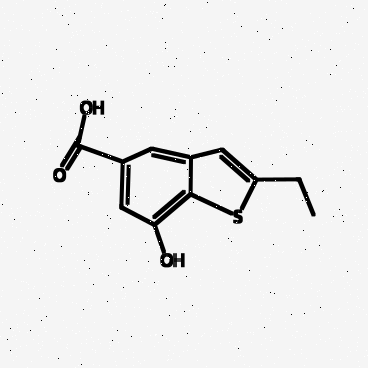 CCc1cc2cc(C(=O)O)cc(O)c2s1